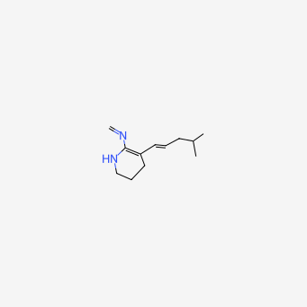 C=NC1=C(/C=C/CC(C)C)CCCN1